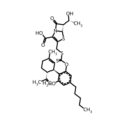 C=C(C)[C@@H]1CCC(C)=C[C@H]1c1c(O)cc(CCCCC)cc1OC(=S)SCC1=C(C(=O)O)N2C(=O)[C@H]([C@@H](C)O)C2S1